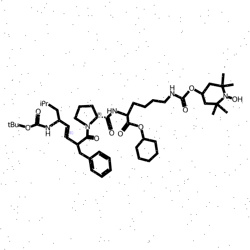 CC(C)CC(/C=C/C(Cc1ccccc1)C(=O)N1CCC[C@@H]1C(=O)NC(CCCCNC(=O)OC1CC(C)(C)N(O)C(C)(C)C1)C(=O)OC1CCCCC1)NC(=O)OC(C)(C)C